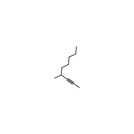 [CH2]CCCCC(C)C#CC